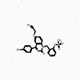 C#CCOc1ccc2c(c1)c(-c1ccc(C(C)C)cc1)nc(=O)n2Cc1ccccc1OS(C)(=O)=O